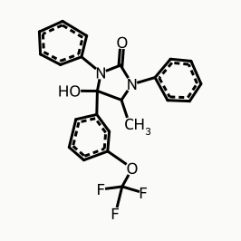 CC1N(c2ccccc2)C(=O)N(c2ccccc2)C1(O)c1cccc(OC(F)(F)F)c1